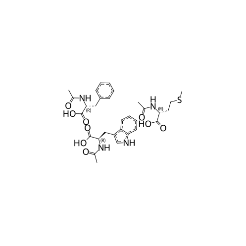 CC(=O)N[C@H](Cc1c[nH]c2ccccc12)C(=O)O.CC(=O)N[C@H](Cc1ccccc1)C(=O)O.CSCC[C@@H](NC(C)=O)C(=O)O